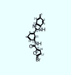 Cc1ccc2[nH]c(-c3cccc(NC(=O)c4ccc(Br)o4)c3)nc2c1